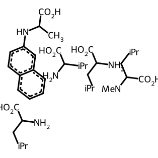 CC(C)C(N)C(=O)O.CC(C)CC(N)C(=O)O.CC(C)CC(N)C(=O)O.CC(Nc1ccc2ccccc2c1)C(=O)O.CNC(CC(C)C)C(=O)O